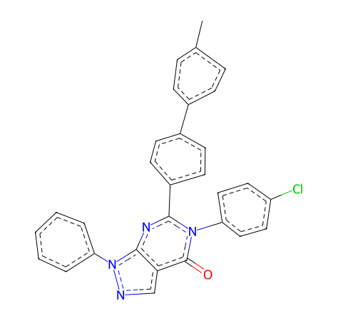 Cc1ccc(-c2ccc(-c3nc4c(cnn4-c4ccccc4)c(=O)n3-c3ccc(Cl)cc3)cc2)cc1